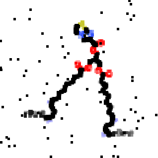 CCCCC/C=C\C/C=C\CCCCCCCC(=O)OCC(COC(=O)CCCCCCC/C=C\C/C=C\CCCCC)COC(=O)c1cn2ccsc2n1